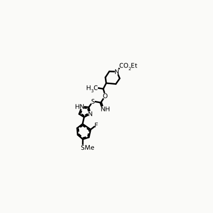 CCOC(=O)N1CCC(C(C)OC(=N)Sc2nc(-c3ccc(SC)cc3F)c[nH]2)CC1